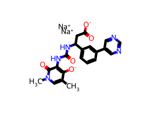 Cc1cn(C)c(=O)c(NC(=O)NC(CC(=O)[O-])c2cccc(-c3cncnc3)c2)c1[O-].[Na+].[Na+]